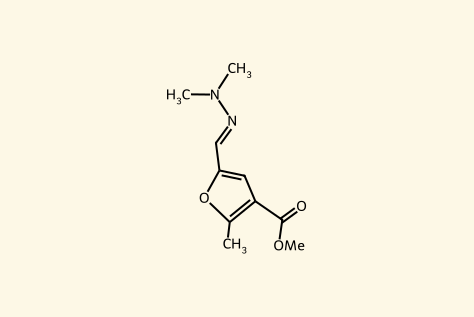 COC(=O)c1cc(C=NN(C)C)oc1C